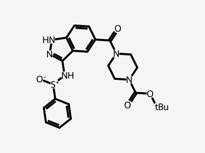 CC(C)(C)OC(=O)N1CCN(C(=O)c2ccc3[nH]nc(N[S+]([O-])c4ccccc4)c3c2)CC1